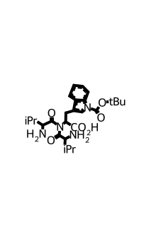 CC(C)C(N)C(=O)N(C(=O)C(N)C(C)C)C(Cc1cn(C(=O)OC(C)(C)C)c2ccccc12)C(=O)O